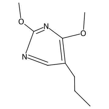 CCCc1cnc(OC)nc1OC